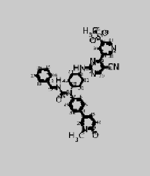 Cn1cc(-c2ccc(N(C(=O)NCc3ccccc3)[C@H]3CC[C@H](Nc4ncc(C#N)c(-c5cncc(S(C)(=O)=O)c5)n4)CC3)cc2)ccc1=O